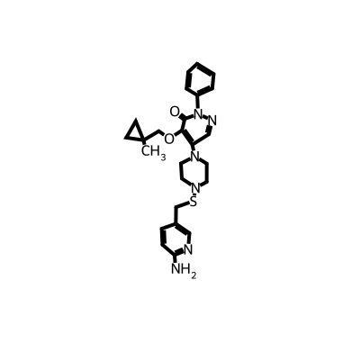 CC1(COc2c(N3CCN(SCc4ccc(N)nc4)CC3)cnn(-c3ccccc3)c2=O)CC1